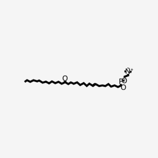 CCCCCCCCCCCCCC(=O)CCCCCCCCC=CCCCCCCCC(=O)[P-]OCC[N+](C)(C)C